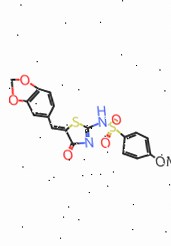 COc1ccc(S(=O)(=O)NC2=NC(=O)/C(=C/c3ccc4c(c3)OCO4)S2)cc1